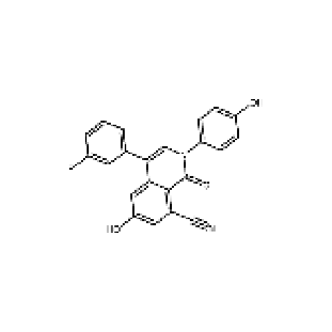 N#Cc1cc(O)cc2c(-c3cccc(F)c3)cn(-c3ccc(O)cc3)c(=O)c12